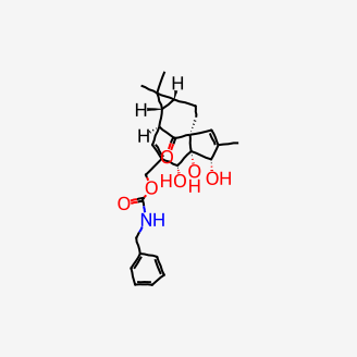 CC1=C[C@@]23CC[C@@H]4[C@H]([C@H](C=C(COC(=O)NCc5ccccc5)[C@@H](O)[C@]2(O)[C@H]1O)C3=O)C4(C)C